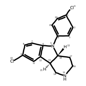 Clc1ccc(N2c3ccc(Cl)cc3[C@@H]3CNCC[C@H]32)cc1